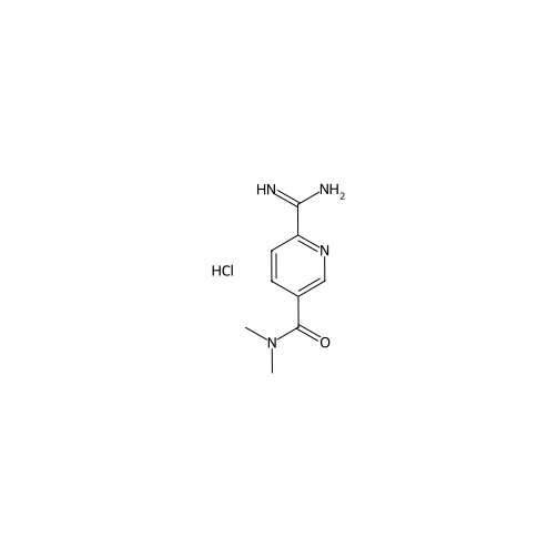 CN(C)C(=O)c1ccc(C(=N)N)nc1.Cl